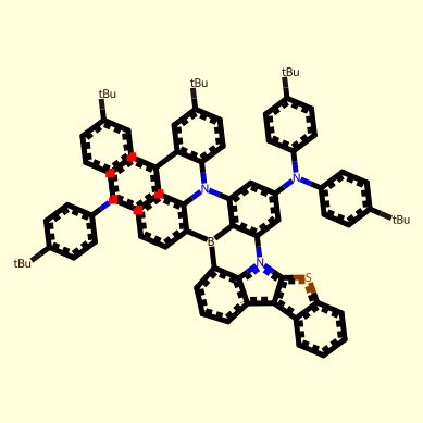 CC(C)(C)c1ccc(N(c2ccc(C(C)(C)C)cc2)c2ccc3c(c2)N(c2ccc(C(C)(C)C)cc2-c2ccccc2)c2cc(N(c4ccc(C(C)(C)C)cc4)c4ccc(C(C)(C)C)cc4)cc4c2B3c2cccc3c5c6ccccc6sc5n-4c23)cc1